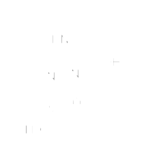 CCOC(=O)c1ncc2[nH]c3cccc(O)c3c2n1